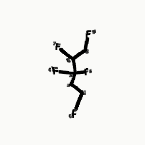 F[CH]CC(F)(F)C(F)CF